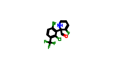 O=CC1(c2c(Br)ccc(C(F)(F)F)c2Cl)NC=CC=C1F